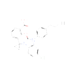 CCCc1ccc(-n2c(=O)n(C3(c4cccc(C(=O)O)c4)CC3)c3ccc(Cl)cc32)cc1